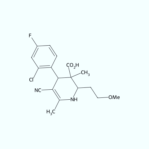 COCCC1NC(C)=C(C#N)C(c2ccc(F)cc2Cl)C1(C)C(=O)O